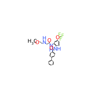 COCCNCC(=O)Nc1cc(OC(F)(F)F)ccc1NC(=O)c1ccc(-c2ccccc2)cc1